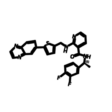 C[C@H](NC(=O)c1cccnc1NCc1ccc(-c2ccc3nccnc3c2)s1)c1ccc(F)c(F)c1